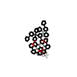 CC(C)(C)c1cc2c3c(c1)N(c1c(-c4ccccc4)cccc1-c1ccccc1)c1ccc(-c4cc([Si](c5ccccc5)(c5ccccc5)c5cccc(-c6ccccc6)c5)cc([Si](c5ccccc5)(c5ccccc5)c5cccc(-c6ccccc6)c5)c4)cc1B3c1ccccc1N2c1c(-c2ccccc2)cccc1-c1ccccc1